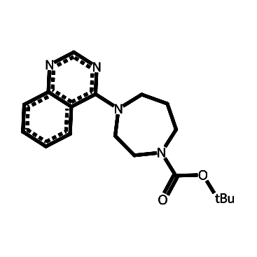 CC(C)(C)OC(=O)N1CCCN(c2ncnc3ccccc23)CC1